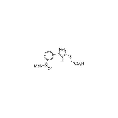 CN[S+]([O-])c1cccc(-c2nnc(SCC(=O)O)[nH]2)c1